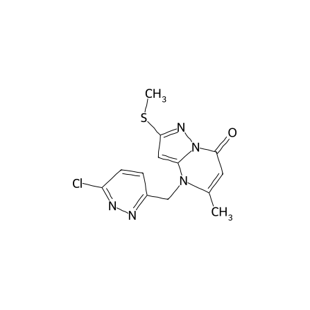 CSc1cc2n(Cc3ccc(Cl)nn3)c(C)cc(=O)n2n1